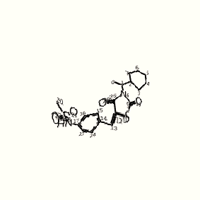 CC(C1CCCCC1)N1C(=O)SC(=Cc2ccc(NS(C)(=O)=O)cc2)C1=O